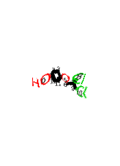 Oc1ccc(OCC(Cl)CCl)cc1